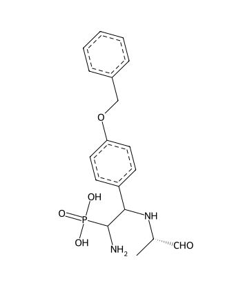 C[C@@H](C=O)NC(c1ccc(OCc2ccccc2)cc1)C(N)P(=O)(O)O